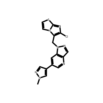 Cn1cc(-c2cnc3cnn(Cc4c(Cl)nc5sccn45)c3c2)cn1